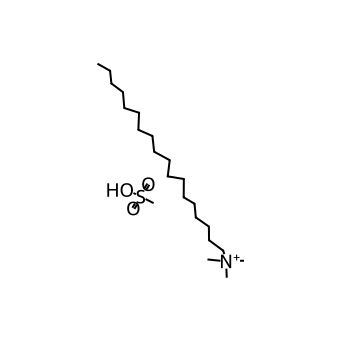 CCCCCCCCCCCCCCCCCC[N+](C)(C)C.CS(=O)(=O)O